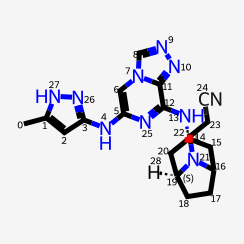 Cc1cc(Nc2cn3cnnc3c(N[C@@H]3CC4CC[C@@H](C3)N4CCC#N)n2)n[nH]1